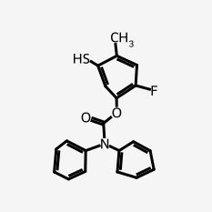 Cc1cc(F)c(OC(=O)N(c2ccccc2)c2ccccc2)cc1S